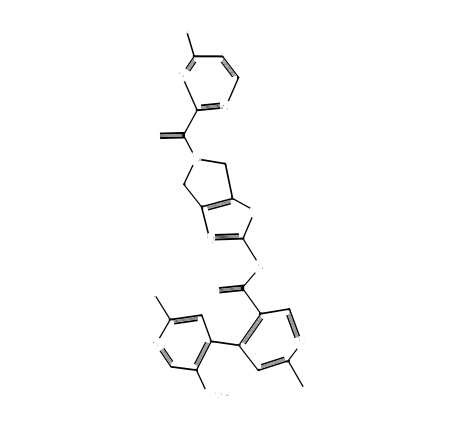 COc1cnc(Cl)cc1-c1cc(C)ncc1C(=O)Nc1nc2c(s1)CN(C(=O)c1nccc(C(F)(F)F)n1)C2